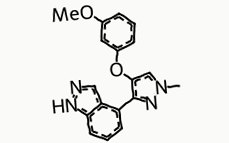 COc1cccc(Oc2cn(C)nc2-c2cccc3[nH]ncc23)c1